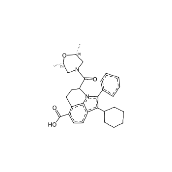 C[C@@H]1CN(C(=O)C2CCc3c(C(=O)O)ccc4c(C5CCCCC5)c(-c5ccccc5)n2c34)C[C@H](C)O1